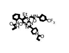 C=CC(=O)Nc1ccccc1-c1c(CC)n(CC(=O)Nc2ccc(C(F)(F)F)cc2)c2nc(C3CCN(C(=O)C=C)CC3)nn2c1=O